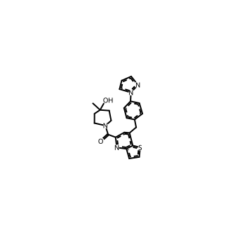 CC1(O)CCN(C(=O)c2cc(Cc3ccc(-n4cccn4)cc3)c3sccc3n2)CC1